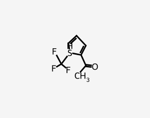 CC(=O)C1=CC=C[SH]1C(F)(F)F